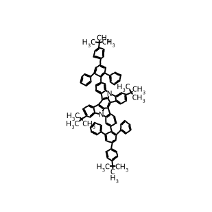 CC(C)(C)c1ccc(-c2cc(-c3ccccc3)c(-c3ccc4c5c6c7ccc(C(C)(C)C)cc7n7c8cc(-c9c(-c%10ccccc%10)cc(-c%10ccc(C(C)(C)C)cc%10)cc9-c9ccccc9)ccc8c(c8c9ccc(C(C)(C)C)cc9n(c4c3)c58)c67)c(-c3ccccc3)c2)cc1